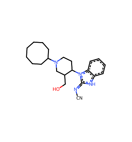 N#C/N=c1\[nH]c2ccccc2n1C1CCN(C2CCCCCCC2)CC1CO